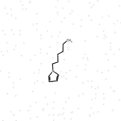 CCCCCCn1cccc1